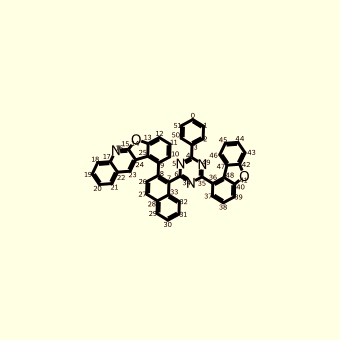 c1ccc(-c2nc(-c3c(-c4cccc5oc6nc7ccccc7cc6c45)ccc4ccccc34)nc(-c3cccc4oc5ccccc5c34)n2)cc1